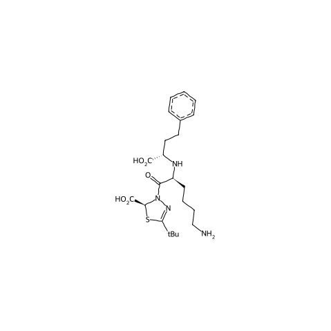 CC(C)(C)C1=NN(C(=O)[C@H](CCCCN)N[C@@H](CCc2ccccc2)C(=O)O)[C@H](C(=O)O)S1